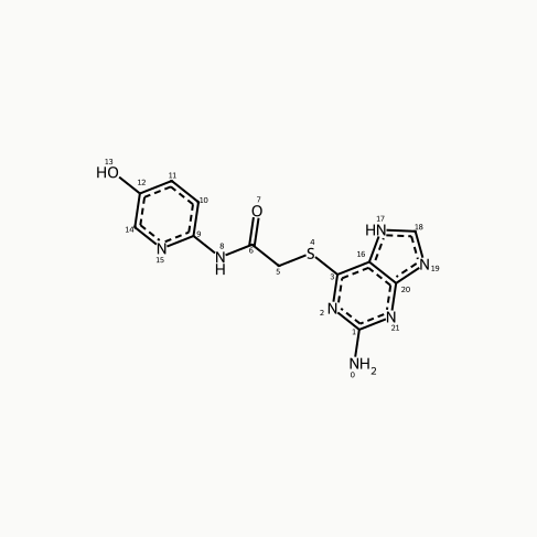 Nc1nc(SCC(=O)Nc2ccc(O)cn2)c2[nH]cnc2n1